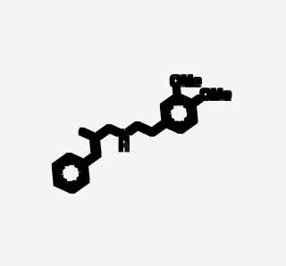 COc1ccc(CCNCC(C)=Cc2ccccc2)cc1OC